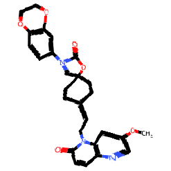 COc1cnc2ccc(=O)n(CC=C3CCC4(CC3)CN(c3ccc5c(c3)OCCO5)C(=O)O4)c2c1